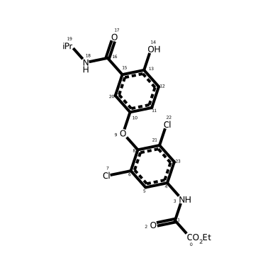 CCOC(=O)C(=O)Nc1cc(Cl)c(Oc2ccc(O)c(C(=O)NC(C)C)c2)c(Cl)c1